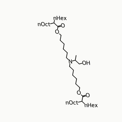 CCCCCCCCC(CCCCCC)C(=O)OCCCCCCN(CCCCCCOC(=O)C(CCCCCC)CCCCCCCC)C(C)CO